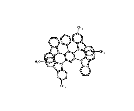 Cc1ccc2c(c1)c1cc(C)ccc1n2-c1nc(-n2c3ccccc3c3ccccc32)c(-n2c3ccc(C)cc3c3cc(C)ccc32)c(-c2ccccn2)c1-n1c2ccccc2c2ccccc21